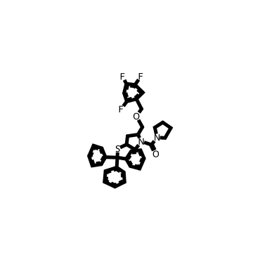 O=C(N1CCCC1)N1CC(SC(c2ccccc2)(c2ccccc2)c2ccccc2)CC1COCc1cc(F)c(F)cc1F